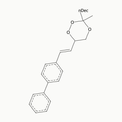 CCCCCCCCCCC1(C)OCC(C=Cc2ccc(-c3ccccc3)cc2)OO1